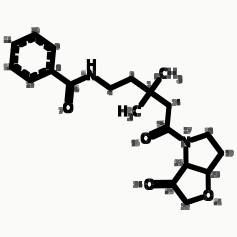 CC(C)(CCNC(=O)c1ccccc1)CC(=O)N1CCC2OCC(=O)C21